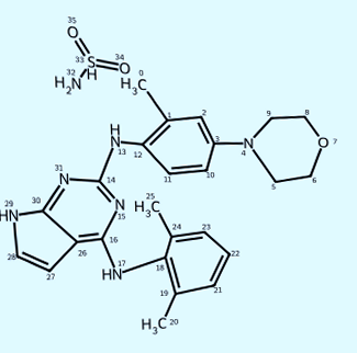 Cc1cc(N2CCOCC2)ccc1Nc1nc(Nc2c(C)cccc2C)c2cc[nH]c2n1.N[SH](=O)=O